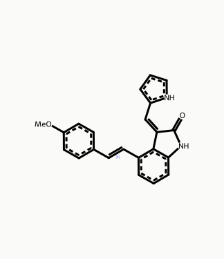 COc1ccc(/C=C/c2cccc3c2C(=Cc2ccc[nH]2)C(=O)N3)cc1